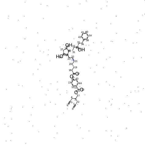 C#CCC(CC#C)COC(=O)c1ccc(OC(=O)CCC/C=C\C[C@H]2[C@@H](O)CC(O)[C@@H]2CC[C@@H](O)CCc2ccccc2)cc1